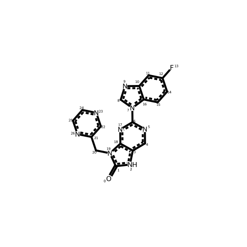 O=c1[nH]c2cnc(-n3cnc4cc(F)ccc43)nc2n1Cc1cnccn1